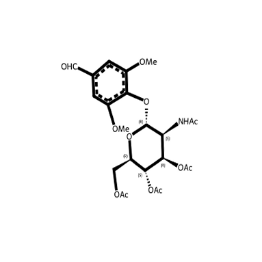 COc1cc(C=O)cc(OC)c1O[C@H]1O[C@H](COC(C)=O)[C@@H](OC(C)=O)[C@H](OC(C)=O)[C@@H]1NC(C)=O